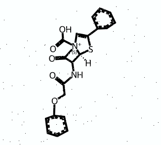 O=C(COc1ccccc1)NC1C(=O)[N+]2(C(=O)O)C=C(c3ccccc3)S[C@@H]12